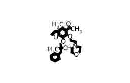 CC(=O)c1c(OCCN2CCOCC2)c(OCC(C)(C)Cc2ccccc2)c2occc2c1C